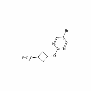 CCOC(=O)[C@H]1C[C@H](Oc2ncc(Br)cn2)C1